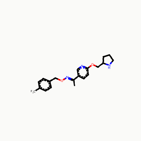 C/C(=N\OCc1ccc(C(F)(F)F)cc1)c1ccc(OCC2CCCN2)nc1